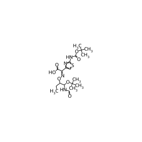 CCC(ON=C(C(=O)O)c1csc(NC(=O)OC(C)(C)C)n1)C(NC=O)OC(C)(C)C